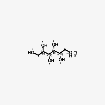 OC[C@@H](O)[C@@H](O)[C@H](O)[C@@H](O)CO.[C]